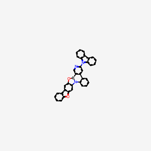 c1ccc2c(c1)-c1cc(-n3c4ccccc4c4ccccc43)ncc1B1Oc3cc4c(cc3N12)oc1ccccc14